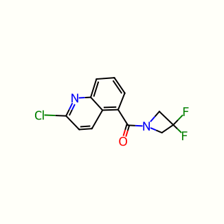 O=C(c1cccc2nc(Cl)ccc12)N1CC(F)(F)C1